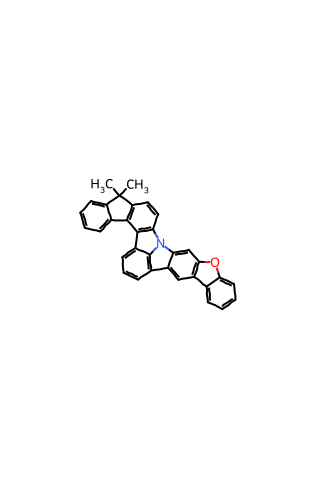 CC1(C)c2ccccc2-c2c1ccc1c2c2cccc3c4cc5c(cc4n1c32)oc1ccccc15